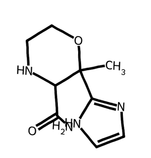 CC1(c2ncc[nH]2)OCCNC1C(N)=O